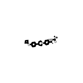 C[C@H](NC(=O)N(C)C)c1ccc(N2CCC(c3ccc(OC4CCC4)cc3)CC2)cc1